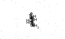 CC1CC(Nc2nccc(NC3C[C@H](COS(N)(=O)=O)[C@@H](O)[C@H]3O)n2)c2ccccc21